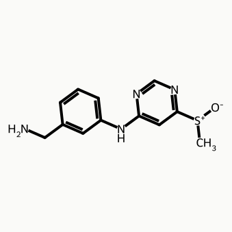 C[S+]([O-])c1cc(Nc2cccc(CN)c2)ncn1